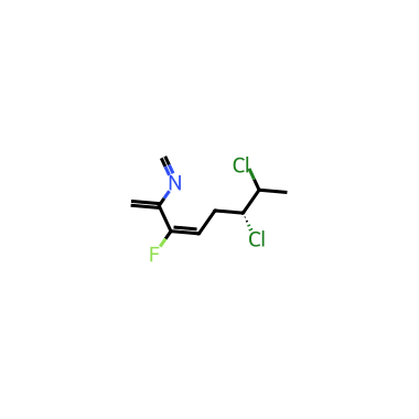 C=NC(=C)/C(F)=C\C[C@@H](Cl)C(C)Cl